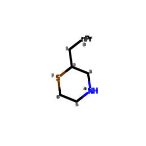 CCCCC1CNCCS1